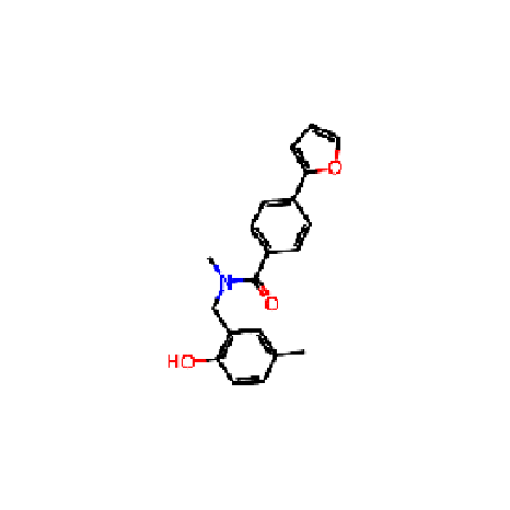 Cc1ccc(O)c(CN(C)C(=O)c2ccc(-c3ccco3)cc2)c1